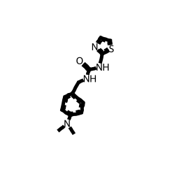 CN(C)c1ccc(CNC(=O)Nc2nccs2)cc1